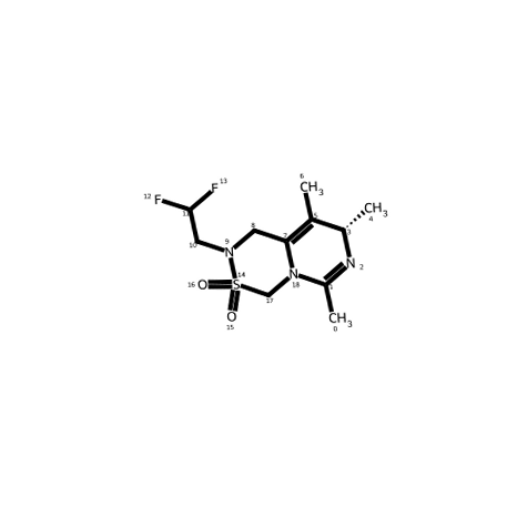 CC1=N[C@@H](C)C(C)=C2CN(CC(F)F)S(=O)(=O)CN12